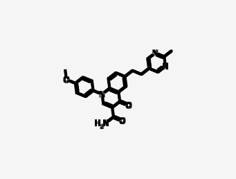 COc1ccc(-n2cc(C(N)=O)c(=O)c3cc(CCc4cnc(C)nc4)ccc32)cc1